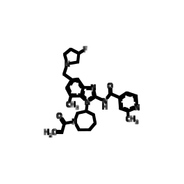 C=CC(=O)N1CCCCC(n2c(NC(=O)c3ccnc(C)c3)nc3cc(CN4CCC(F)C4)cc(C)c32)C1